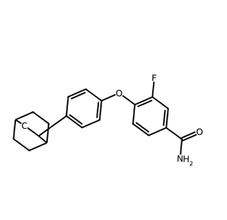 NC(=O)c1ccc(Oc2ccc(C3CC4CCC3CC4)cc2)c(F)c1